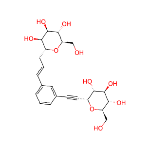 OC[C@H]1O[C@H](C/C=C/c2cccc(C#C[C@H]3O[C@H](CO)[C@@H](O)[C@H](O)[C@H]3O)c2)[C@@H](O)[C@@H](O)[C@@H]1O